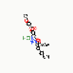 COC(=O)[C@H](Cc1ccc(-c2ccc(C#N)cc2)cc1)NC(=O)C1Cc2cc3c(cc2CN1)O[C@@H](c1ccc(OCC2CCCC2)cc1)CO3.Cl